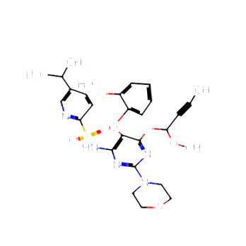 CC#CC(OC)Oc1nc(N2CCOCC2)nc(NS(=O)(=O)c2ccc(C(C)C)cn2)c1Oc1ccccc1OC